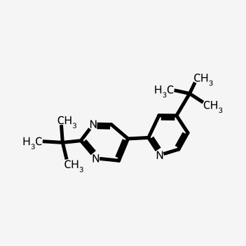 CC(C)(C)c1ccnc(-c2cnc(C(C)(C)C)nc2)c1